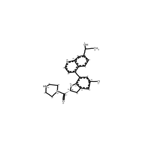 CC(O)c1ccc2c(-c3cc(Cl)cc4c3O[C@@H](C(=O)N3CCNCC3)C4)ccnc2c1